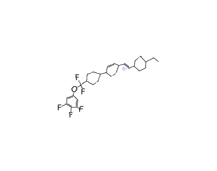 CCC1CCC(/C=C/C2C=CC(C3CCC(C(F)(F)Oc4cc(F)c(F)c(F)c4)CC3)CC2)CC1